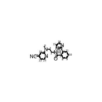 CN(CCNC(=O)c1ccccc1-n1nccn1)c1cc(C#N)ccn1